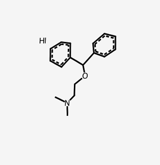 CN(C)CCOC(c1ccccc1)c1ccccc1.I